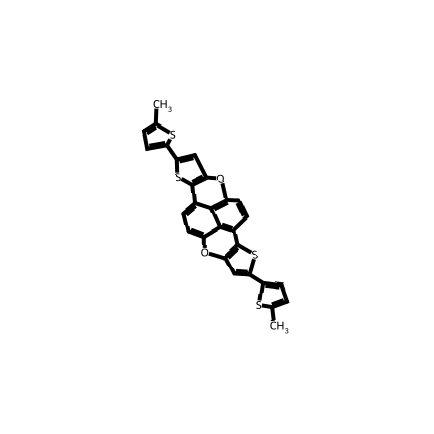 Cc1ccc(-c2cc3c(s2)-c2ccc4c5c(ccc(c25)O3)-c2sc(-c3ccc(C)s3)cc2O4)s1